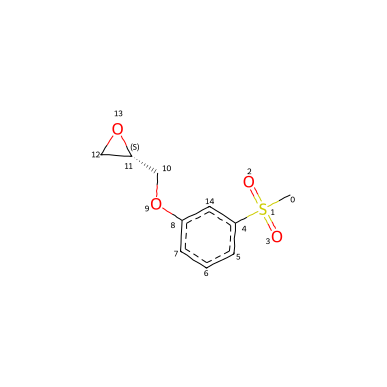 CS(=O)(=O)c1cccc(OC[C@@H]2CO2)c1